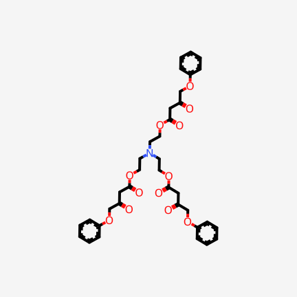 O=C(COc1ccccc1)CC(=O)OCCN(CCOC(=O)CC(=O)COc1ccccc1)CCOC(=O)CC(=O)COc1ccccc1